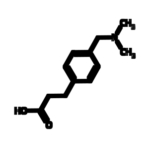 CN(C)Cc1ccc(CCC(=O)O)cc1